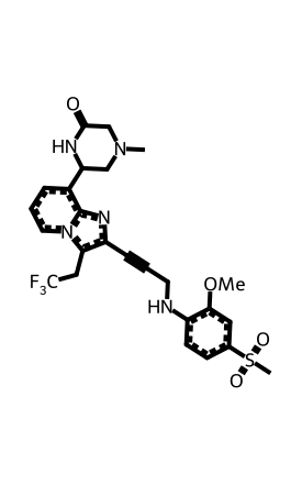 COc1cc(S(C)(=O)=O)ccc1NCC#Cc1nc2c(C3CN(C)CC(=O)N3)cccn2c1CC(F)(F)F